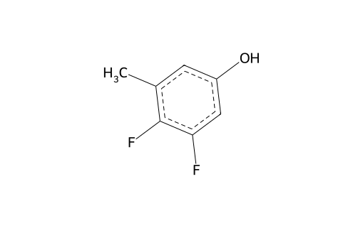 Cc1cc(O)cc(F)c1F